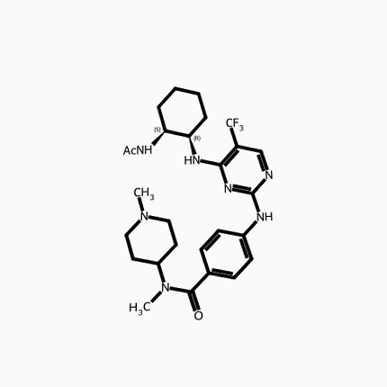 CC(=O)N[C@H]1CCCC[C@H]1Nc1nc(Nc2ccc(C(=O)N(C)C3CCN(C)CC3)cc2)ncc1C(F)(F)F